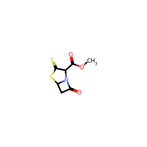 COC(=O)C1C(=S)SC2CC(=O)N21